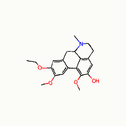 CCOc1cc2c(cc1OC)-c1c(OC)c(O)cc3c1C(C2)N(C)CC3